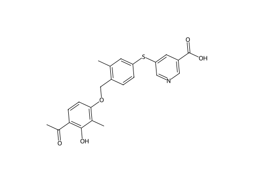 CC(=O)c1ccc(OCc2ccc(Sc3cncc(C(=O)O)c3)cc2C)c(C)c1O